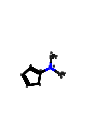 CCCN(CCC)C1=CC=CC1